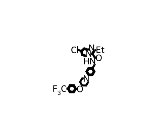 CCc1nc2cc(Cl)ccn2c1C(=O)NCc1ccc(N2CCC(Oc3ccc(C(F)(F)F)cc3)CC2)cc1